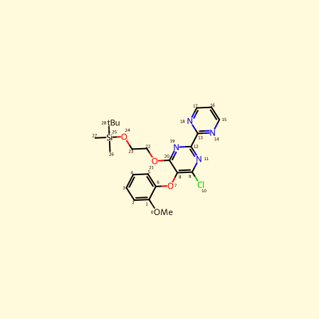 COc1ccccc1Oc1c(Cl)nc(-c2ncccn2)nc1OCCO[Si](C)(C)C(C)(C)C